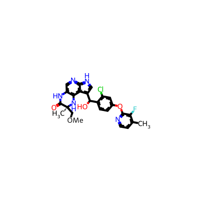 COC[C@]1(C)Nc2c(cnc3[nH]cc(C(O)c4ccc(Oc5nccc(C)c5F)cc4Cl)c23)NC1=O